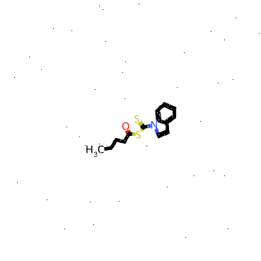 CCCCC(=O)SC(=S)n1ccc2ccccc21